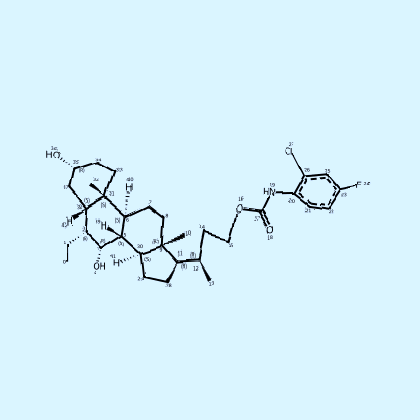 CC[C@H]1[C@@H](O)[C@@H]2[C@H](CC[C@]3(C)[C@@H]([C@H](C)CCOC(=O)Nc4ccc(F)cc4Cl)CC[C@@H]23)[C@@]2(C)CC[C@@H](O)C[C@@H]12